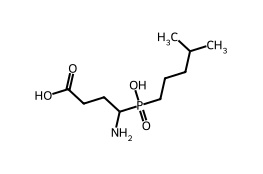 CC(C)CCCP(=O)(O)C(N)CCC(=O)O